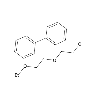 CCOCCOCCO.c1ccc(-c2ccccc2)cc1